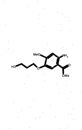 COC(=O)c1cc(OCCCO)c(OC)cc1N